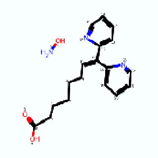 NO.O=C(O)CCCCCC=C(c1ccccn1)c1ccccn1